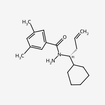 C=CC[C@H](C1CCCCC1)N(N)C(=O)c1cc(C)cc(C)c1